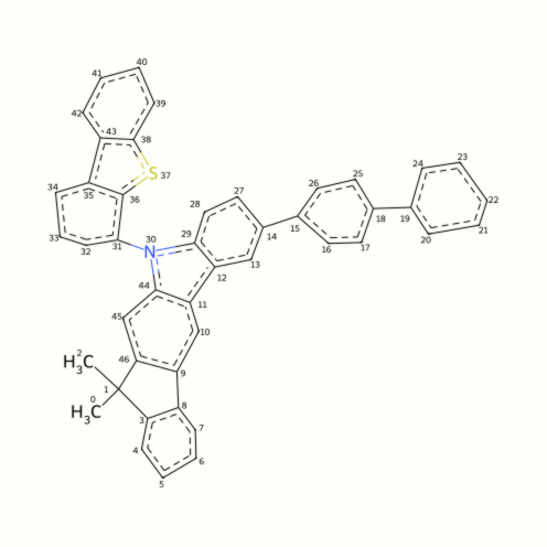 CC1(C)c2ccccc2-c2cc3c4cc(-c5ccc(-c6ccccc6)cc5)ccc4n(-c4cccc5c4sc4ccccc45)c3cc21